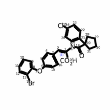 O=C(O)/C(=C\c1ccc(Oc2ccccc2Br)cc1)NC(=O)C1(c2ccc(Cl)cc2)CCCC1